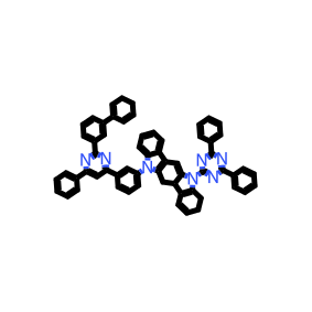 C1=CC(c2cccc(-c3nc(-c4ccccc4)cc(-c4cccc(-n5c6c(c7ccccc75)C=C5C(C6)C6=C(CCC=C6)N5c5nc(-c6ccccc6)nc(-c6ccccc6)n5)c4)n3)c2)=CCC1